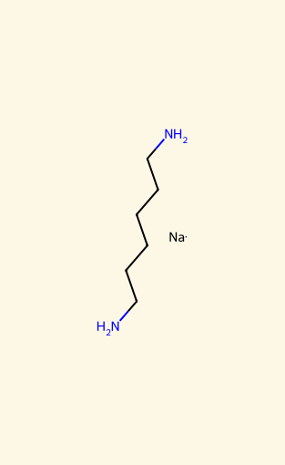 NCCCCCCN.[Na]